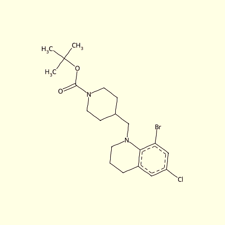 CC(C)(C)OC(=O)N1CCC(CN2CCCc3cc(Cl)cc(Br)c32)CC1